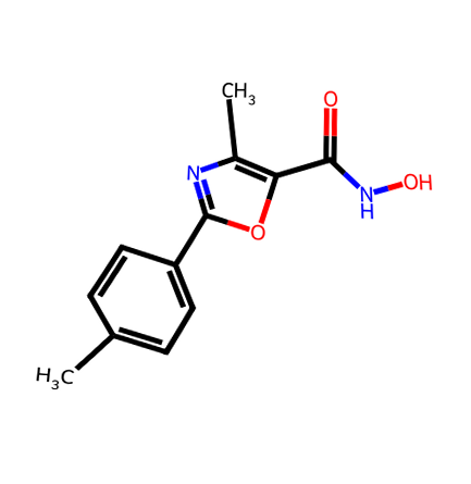 Cc1ccc(-c2nc(C)c(C(=O)NO)o2)cc1